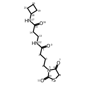 O=C(CCCN1C(=O)CSC1=O)NCCC(=O)NC1CCC1